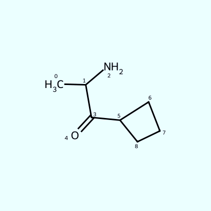 CC(N)C(=O)C1CCC1